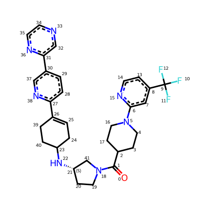 O=C(C1CCN(c2cc(C(F)(F)F)ccn2)CC1)N1CC[C@H](NC2CC=C(c3ccc(-c4cnccn4)cn3)CC2)C1